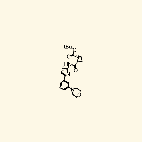 CC(C)(C)OC(=O)N1CC[C@H]1C(=O)Nc1nc(-c2cccc(N3CCOCC3)c2)cs1